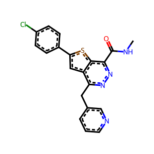 CNC(=O)c1nnc(Cc2cccnc2)c2cc(-c3ccc(Cl)cc3)sc12